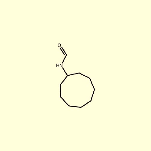 O=CNC1CCCCCCCC1